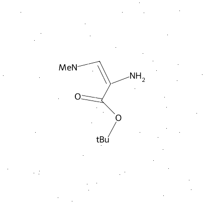 CN/C=C(/N)C(=O)OC(C)(C)C